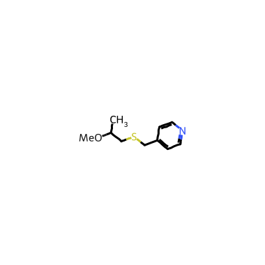 COC(C)CSCc1ccncc1